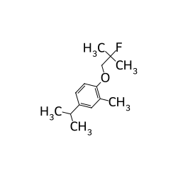 Cc1cc(C(C)C)ccc1OCC(C)(C)F